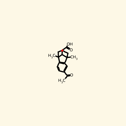 CC(=O)c1ccc2c(c1)C1(C)CCCC2(C)C1CC(=O)O